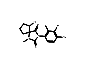 CCC1CCCC12C(=O)N(c1ccc(C#N)c(Cl)c1C)C(=O)N2C